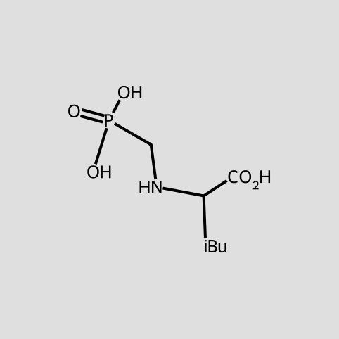 CCC(C)C(NCP(=O)(O)O)C(=O)O